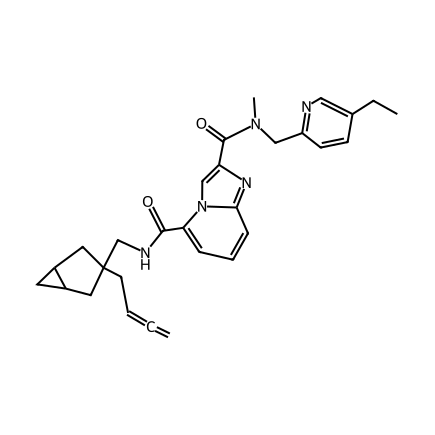 C=C=CCC1(CNC(=O)c2cccc3nc(C(=O)N(C)Cc4ccc(CC)cn4)cn23)CC2CC2C1